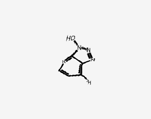 [2H]c1ccnc2c1nnn2O